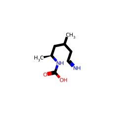 CC(CC=N)C[C@H](C)NC(=O)O